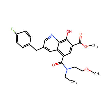 CCN(CCOC)C(=O)c1cc(C(=O)OC)c(O)c2ncc(Cc3ccc(F)cc3)cc12